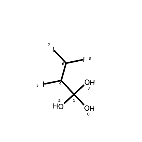 OC(O)(O)C(I)C(I)I